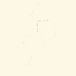 CON=C1CCCC2=C1CCC(N(C)C)C2